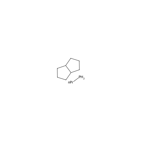 C1CC2CCCC2C1.CCCP